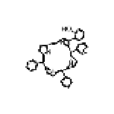 Oc1ccccc1C1=CC2=CC3=NC(=C(c4ccccc4)C4=NC(=C(c5ccccc5)C5=NC(=C(c6ccccc6)C1=N2)C=C5)C=C4)C=C3